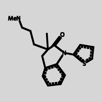 CNCCCC1(C)Cc2ccccc2N(c2cccs2)C1=O